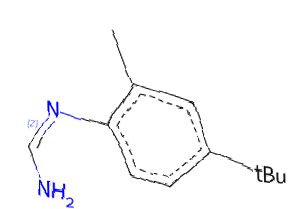 Cc1cc(C(C)(C)C)ccc1/N=C\N